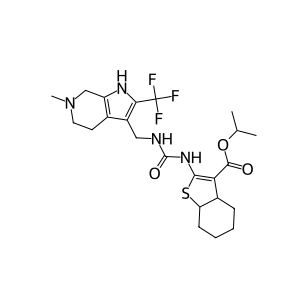 CC(C)OC(=O)C1=C(NC(=O)NCc2c(C(F)(F)F)[nH]c3c2CCN(C)C3)SC2CCCCC12